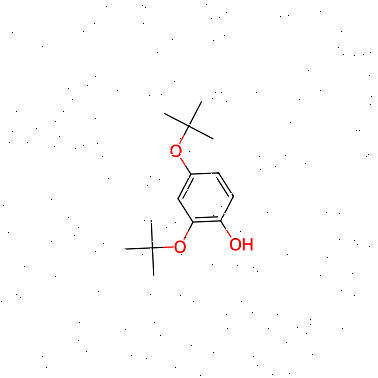 CC(C)(C)Oc1ccc(O)c(OC(C)(C)C)c1